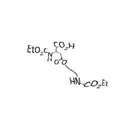 CCOC(=O)NCCOC(=O)CC(NC(=O)OCC)C(=O)O